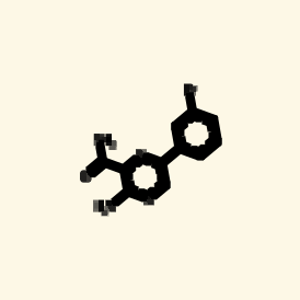 NC(=O)c1nc(-c2cccc(Br)c2)cnc1N